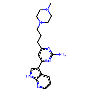 CN1CCN(CCCc2cc(-c3c[nH]c4ncccc34)nc(N)n2)CC1